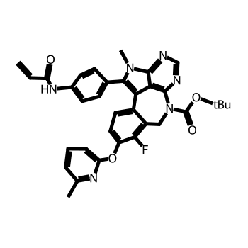 C=CC(=O)Nc1ccc(-c2c3c4c(ncnc4n2C)N(C(=O)OC(C)(C)C)Cc2c-3ccc(Oc3cccc(C)n3)c2F)cc1